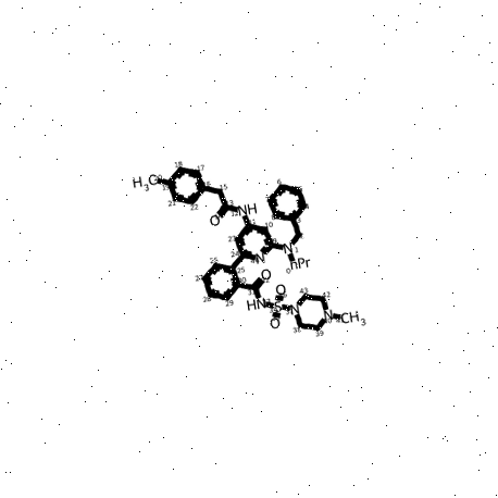 CCCN(Cc1ccccc1)c1cc(NC(=O)Cc2ccc(C)cc2)cc(-c2ccccc2C(=O)NS(=O)(=O)N2CCN(C)CC2)n1